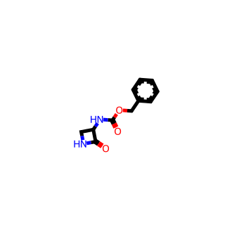 O=C(NC1CNC1=O)OCc1ccccc1